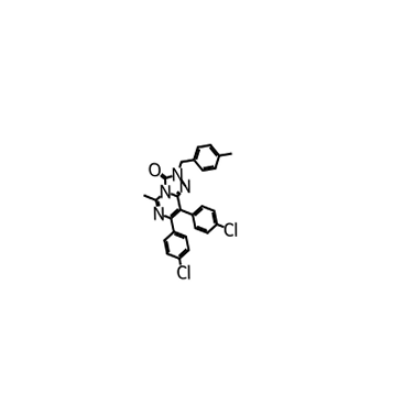 Cc1ccc(Cn2nc3c(-c4ccc(Cl)cc4)c(-c4ccc(Cl)cc4)nc(C)n3c2=O)cc1